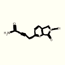 CCN1Cc2ccc(CC#CC(N)=O)nc2C1=O